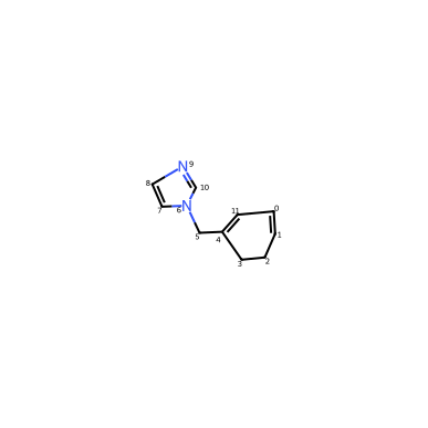 C1=CCCC(Cn2ccnc2)=C1